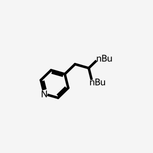 CCCCC(CCCC)Cc1ccncc1